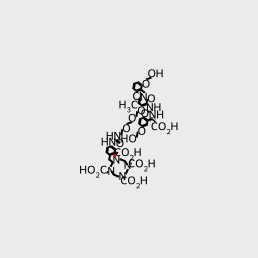 Cc1cn(Cc2c(Cl)cccc2OCCO)c(=O)c(NC(=O)N[C@@H](CC(=O)O)c2cccc(OCCO)c2)c1OCCOCCOCCNC(=O)Nc1ccc(CC2CN(CC(=O)O)CCN(C(=O)O)CCN(C(=O)O)CCN2CC(=O)O)cc1